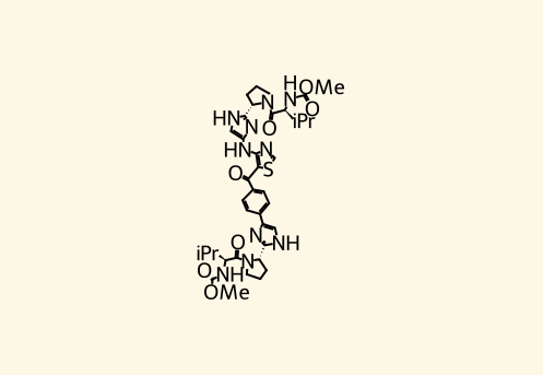 COC(=O)N[C@H](C(=O)N1CCC[C@H]1c1nc(Nc2ncsc2C(=O)c2ccc(-c3c[nH]c([C@@H]4CCCN4C(=O)[C@@H](NC(=O)OC)C(C)C)n3)cc2)c[nH]1)C(C)C